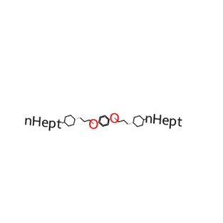 CCCCCCC[C@H]1CC[C@H](CCCOc2ccc(OCCC[C@H]3CC[C@H](CCCCCCC)CC3)cc2)CC1